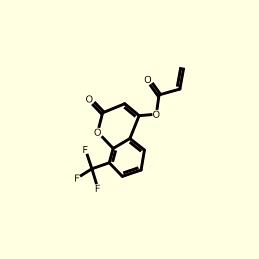 C=CC(=O)Oc1cc(=O)oc2c(C(F)(F)F)cccc12